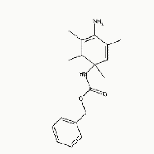 CC1=CC(C)(NC(=O)OCc2ccccc2)C(C)C(C)=C1N